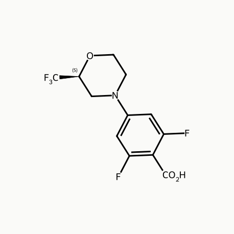 O=C(O)c1c(F)cc(N2CCO[C@H](C(F)(F)F)C2)cc1F